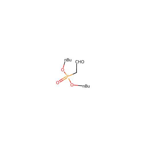 CCCCOP(=O)(CC=O)OCCCC